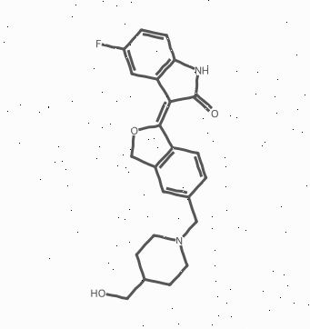 O=C1Nc2ccc(F)cc2C1=C1OCc2cc(CN3CCC(CO)CC3)ccc21